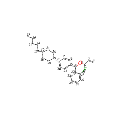 C=CCOC(c1ccc([C@H]2CC[C@H](CCCCC)CC2)cc1)c1ccccc1F